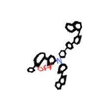 Oc1c(-c2ccccc2)cccc1-c1ccc(N(C2=CC=C(c3ccc(-c4cccc(-c5cccc6ccccc56)c4)cc3)CC2)c2ccc(-c3cccc4ccccc34)cc2)cc1